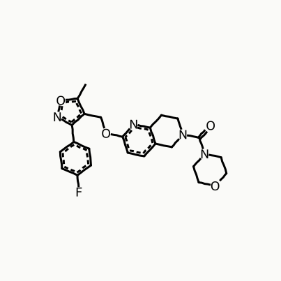 Cc1onc(-c2ccc(F)cc2)c1COc1ccc2c(n1)CCN(C(=O)N1CCOCC1)C2